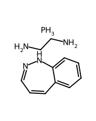 C1=Cc2ccccc2NN=C1.NCCN.P